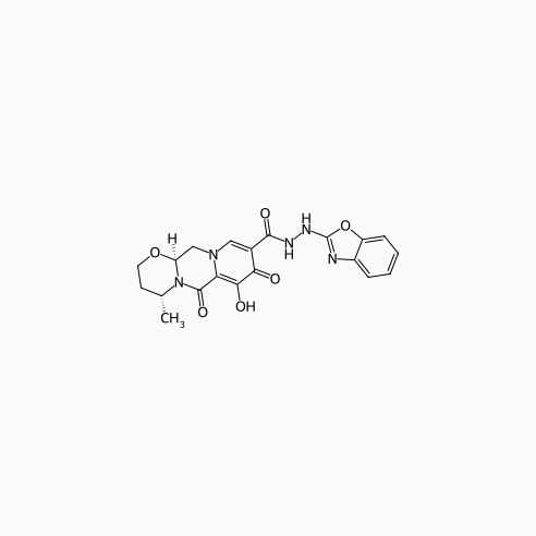 C[C@@H]1CCO[C@H]2Cn3cc(C(=O)NNc4nc5ccccc5o4)c(=O)c(O)c3C(=O)N12